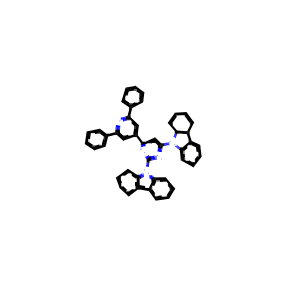 C1=CC2c3ccccc3N(c3cc(-c4cc(-c5ccccc5)nc(-c5ccccc5)c4)nc(-n4c5ccccc5c5ccccc54)n3)C2C=C1